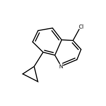 Clc1ccnc2c(C3CC3)cccc12